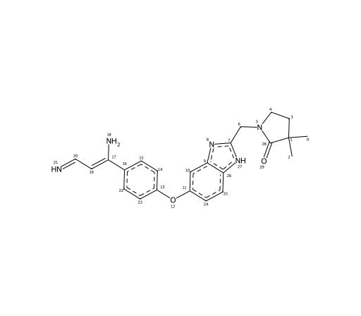 CC1(C)CCN(Cc2nc3cc(Oc4ccc(/C(N)=C/C=N)cc4)ccc3[nH]2)C1=O